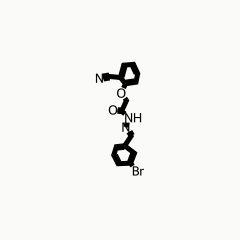 N#Cc1ccccc1OCC(=O)N/N=C/c1cccc(Br)c1